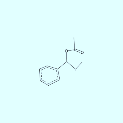 C[CH]C(OC(C)=O)c1ccccc1